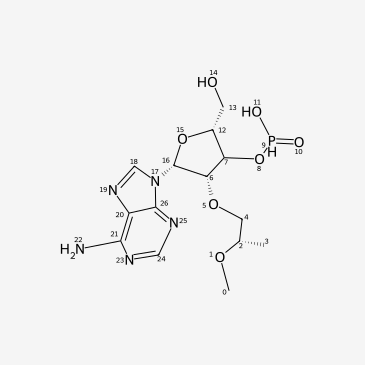 CO[C@@H](C)CO[C@H]1C(O[PH](=O)O)[C@@H](CO)O[C@H]1n1cnc2c(N)ncnc21